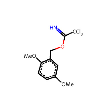 COc1ccc(OC)c(COC(=N)C(Cl)(Cl)Cl)c1